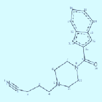 N#CCCCN1CCN(C(=O)c2cc3ccccc3s2)CC1